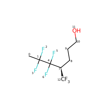 CC(F)(F)C(F)(F)[C@@H](CCCO)C(F)(F)F